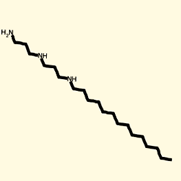 CCCCCCCCCCCCCCNCCCNCCCN